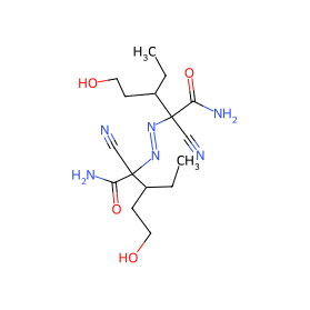 CCC(CCO)C(C#N)(N=NC(C#N)(C(N)=O)C(CC)CCO)C(N)=O